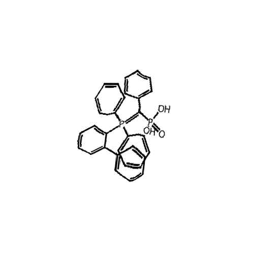 O=P(O)(O)C(c1ccccc1)=P(c1ccccc1)(c1ccccc1)c1ccccc1-c1ccccc1